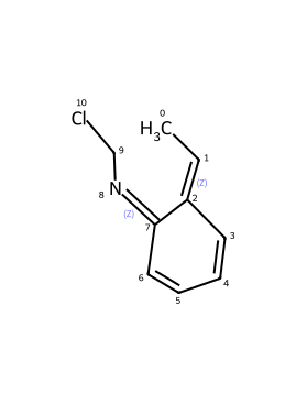 C/C=C1/C=CC=C/C1=N/CCl